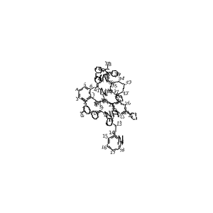 COc1cccc2c1[C@@H](C(=O)NOCc1ccccn1)[C@H](c1ccc(Cl)cc1Cl)N([C@H]1CCCC[C@@H]1NS(C)(=O)=O)C2=O